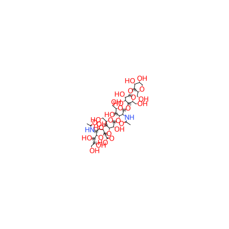 CC(=O)NC1C(O[C@@H]2OC(CO)[C@H](O)C(O[C@]3(C(=O)O)CC(O)[C@@H](NC(C)=O)C([C@H](O)[C@H](O)CO)O3)C2O)[C@@H](O)C(CO)O[C@H]1O[C@H]1C(CO)O[C@@H](O[C@@H]2C(CO)OCC(O)C2O)C(O)C1O